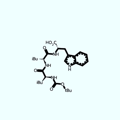 CC[C@H](C)[C@H](NC(=O)OC(C)(C)C)C(=O)N[C@H](C(=O)N[C@@H](Cc1c[nH]c2ccccc12)C(=O)O)[C@@H](C)CC